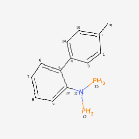 Cc1ccc(-c2ccccc2N(P)P)cc1